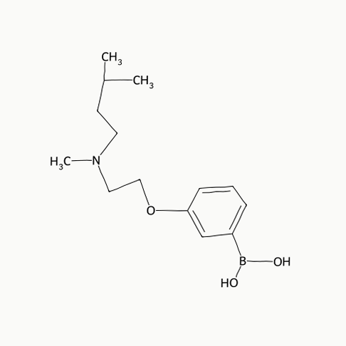 CC(C)CCN(C)CCOc1cccc(B(O)O)c1